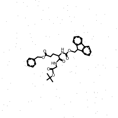 CC(C)(C)OC(=O)CNC(=O)C(CCC(=O)OCc1ccccc1)NC(=O)OCC1c2ccccc2-c2ccccc21